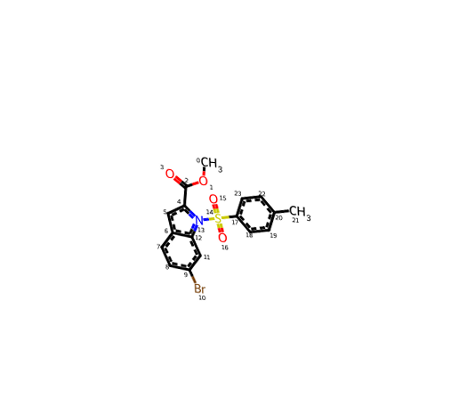 COC(=O)c1cc2ccc(Br)cc2n1S(=O)(=O)c1ccc(C)cc1